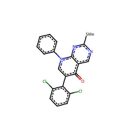 CSc1ncc2c(=O)c(-c3c(Cl)cccc3Cl)cn(-c3ccccc3)c2n1